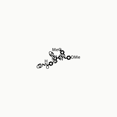 COc1ccc(CN(Cc2ccc(OC)cc2)c2ncc(-c3nc(N4CCOCC4)nc4c3CCN4c3ccc(C(=O)NCCN4CCOCC4)cc3)cn2)cc1